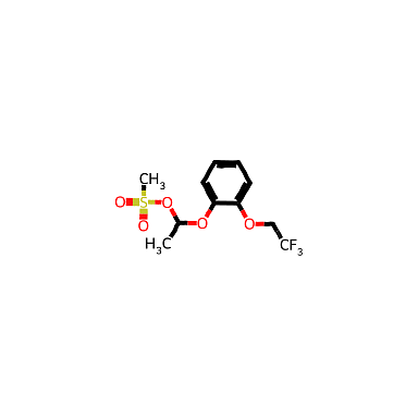 CC(Oc1ccccc1OCC(F)(F)F)OS(C)(=O)=O